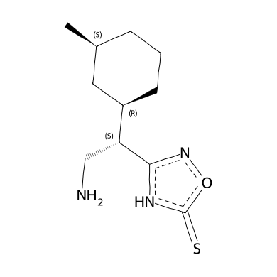 C[C@H]1CCC[C@@H]([C@@H](CN)c2noc(=S)[nH]2)C1